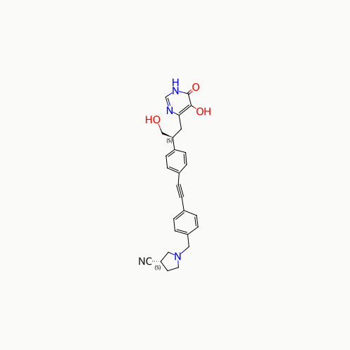 N#C[C@H]1CCN(Cc2ccc(C#Cc3ccc([C@@H](CO)Cc4nc[nH]c(=O)c4O)cc3)cc2)C1